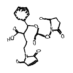 O=C(OC(c1ccccc1)C(CCN1C(=O)C=CC1=O)C(=O)O)ON1C(=O)CCC1=O